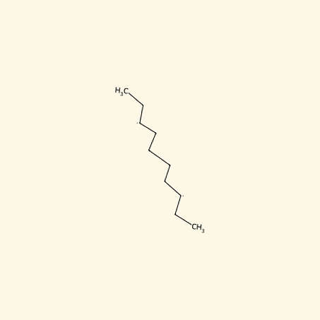 CC[CH]CCCC[CH]CC